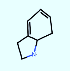 C1=CCC2[N]CCC2=C1